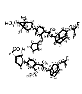 CCCSc1nc(N2CC[C@H](CC(=O)O)C2)ccc1C(=O)NC1C2CC3CC1CC(OC(F)F)(C3)C2.O=C(NC1C2CC3CC1CC(OC(F)F)(C3)C2)c1ccc(N2C[C@@H]3C(C(=O)O)[C@@H]3C2)nc1SC1CCCC1